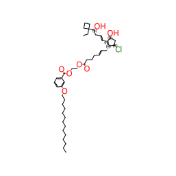 CCCCCCCCCCCCCCOc1cccc(C(=O)OCCOC(=O)CCCC=CC[C@@H]2[C@@H](C=CC[C@H](O)C3(CC)CCC3)[C@H](O)C[C@H]2Cl)c1